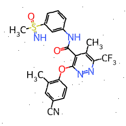 Cc1cc(C#N)ccc1Oc1nnc(C(F)(F)F)c(C)c1C(=O)Nc1cccc(S(C)(=N)=O)c1